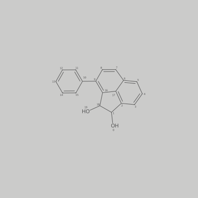 OC1c2cccc3ccc(-c4ccccc4)c(c23)C1O